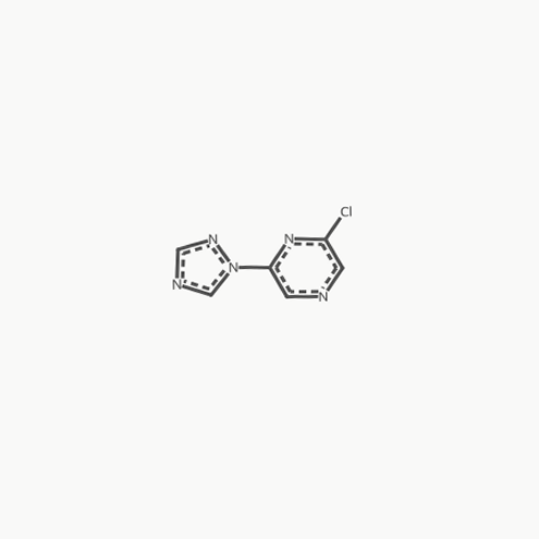 Clc1cncc(-n2cncn2)n1